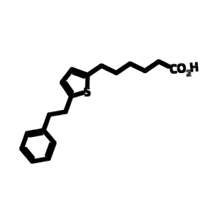 O=C(O)CCCCCc1ccc(CCc2ccccc2)s1